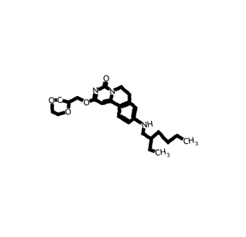 CCCCC(CC)CNc1ccc2c(c1)CCn1c-2cc(OCC2COCCO2)nc1=O